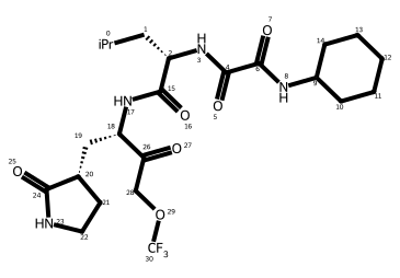 CC(C)C[C@H](NC(=O)C(=O)NC1CCCCC1)C(=O)N[C@@H](C[C@@H]1CCNC1=O)C(=O)COC(F)(F)F